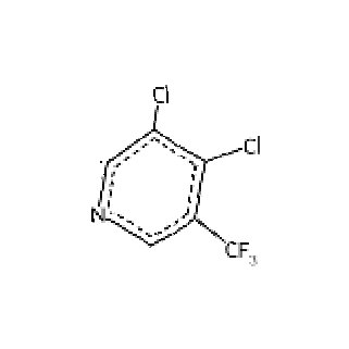 FC(F)(F)c1cn[c]c(Cl)c1Cl